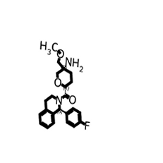 COC[C@@]1(N)CC[C@H](C(=O)N2CCc3ccccc3[C@@H]2c2ccc(F)cc2)OC1